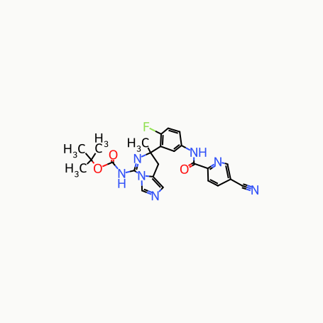 CC(C)(C)OC(=O)NC1=NC(C)(c2cc(NC(=O)c3ccc(C#N)cn3)ccc2F)Cc2cncn21